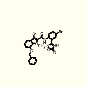 Cn1c(C(=O)Nc2ccc(Br)cc2-c2noc(=O)[nH]2)c(Br)c2cccc(OCc3ccccc3)c21